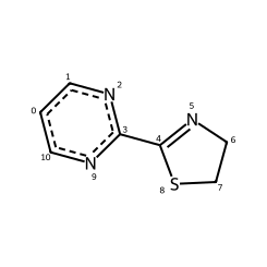 c1cnc(C2=NCCS2)nc1